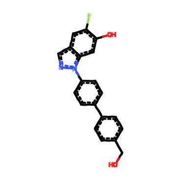 OCc1ccc(-c2ccc(-n3ncc4cc(F)c(O)cc43)cc2)cc1